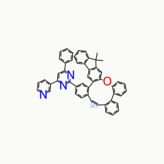 CC1(C)c2ccccc2-c2cc3c(cc21)Oc1ccccc1-c1ccccc1/C=C\c1ccc(-c2nc(-c4ccccc4)cc(-c4cccnc4)n2)cc1-3